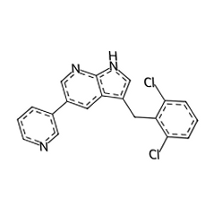 Clc1cccc(Cl)c1Cc1c[nH]c2ncc(-c3cccnc3)cc12